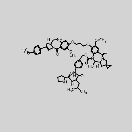 COc1ccc(C2=CN3C(=O)c4cc(OC)c(OCCCOc5cc6c(cc5OC)C(=O)N5CC7(CC7)C[C@H]5C(O)N6C(=O)OCc5ccc(NC(=O)C(CC(C)C)NC(=O)[C@@H]6CCCN6)cc5)cc4NC[C@@H]3C2)cc1